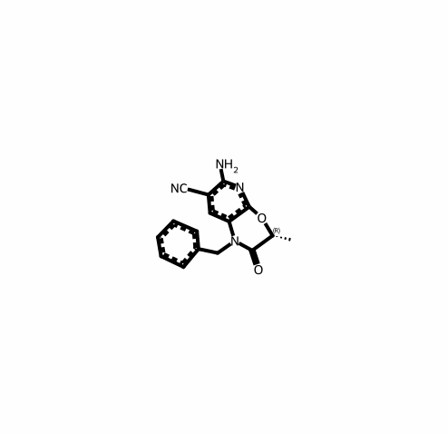 C[C@H]1Oc2nc(N)c(C#N)cc2N(Cc2ccccc2)C1=O